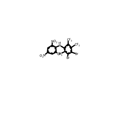 O=[N+]([O-])c1cc([N+](=O)[O-])c(Nc2c(Br)c(Br)c(Br)c(C(F)(F)F)c2C(F)(F)F)c(C(F)(F)F)c1